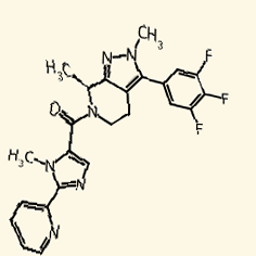 C[C@H]1c2nn(C)c(-c3cc(F)c(F)c(F)c3)c2CCN1C(=O)c1cnc(-c2ccccn2)n1C